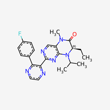 CC[C@@H]1C(=O)N(C)c2cnc(-c3nccnc3-c3ccc(F)cc3)nc2N1C(C)C